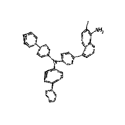 Cc1ccc2c(-c3ccc(N(c4ccc(-c5ccccc5)cc4)c4ccc(-c5ccccc5)cc4)cc3)cccc2c1N